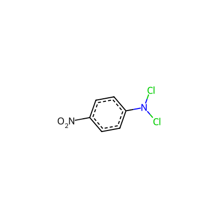 O=[N+]([O-])c1ccc(N(Cl)Cl)cc1